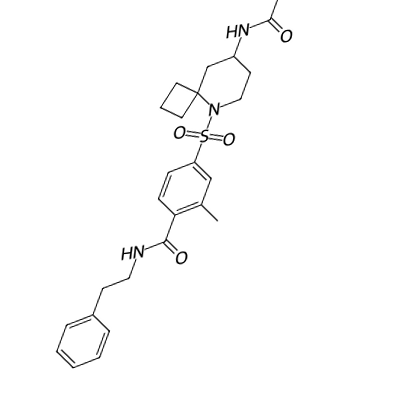 C=CC(=O)NC1CCN(S(=O)(=O)c2ccc(C(=O)NCCc3ccccc3)c(C)c2)C2(CCC2)C1